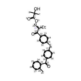 CC/C(=N\OC(=O)C(C)(C)O)C(=O)c1ccc(Sc2ccc(C(=O)c3ccccc3C)cc2)cc1